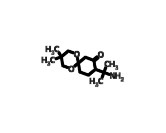 CC1(C)COC2(CCC(C(C)(C)N)C(=O)C2)OC1